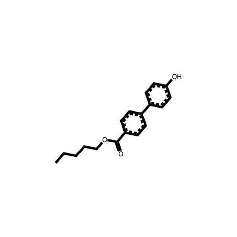 CCCCCOC(=O)c1ccc(-c2ccc(O)cc2)cc1